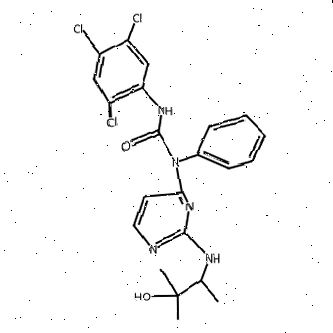 CC(Nc1nccc(N(C(=O)Nc2cc(Cl)c(Cl)cc2Cl)c2ccccc2)n1)C(C)(C)O